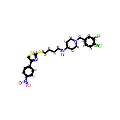 O=[N+]([O-])c1ccc(-c2csc(SCCCCNC3CCN(Cc4ccc(Cl)c(Cl)c4)CC3)n2)cc1